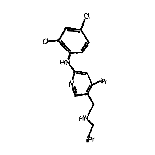 CC(C)CNCc1cnc(Nc2ccc(Cl)cc2Cl)cc1C(C)C